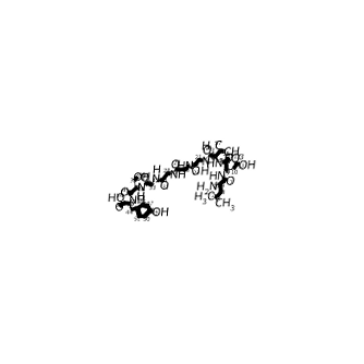 CC(C)C[C@H](N)C(=O)N[C@@H](CC(=O)O)C(=O)N[C@H](C(=O)NCC(=O)NCC(=O)NCC(=O)NCC(=O)N[C@@H](CO)C(=O)N[C@@H](Cc1ccc(O)cc1)C(=O)O)C(C)C